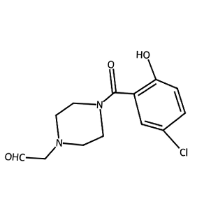 O=CCN1CCN(C(=O)c2cc(Cl)ccc2O)CC1